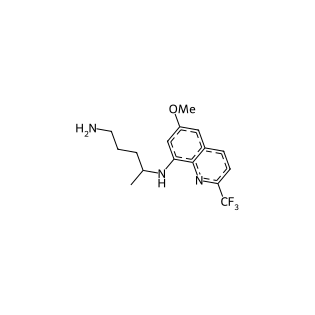 COc1cc(NC(C)CCCN)c2nc(C(F)(F)F)ccc2c1